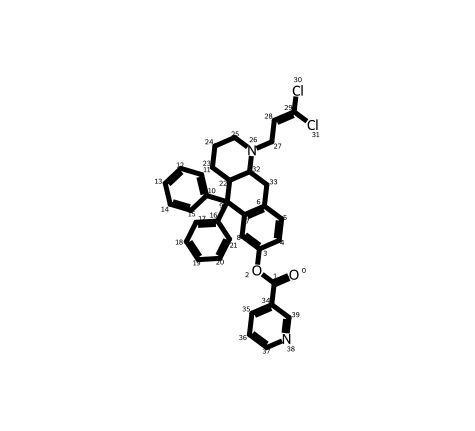 O=C(Oc1ccc2c(c1)C(c1ccccc1)(c1ccccc1)C1CCCN(CC=C(Cl)Cl)C1C2)c1cccnc1